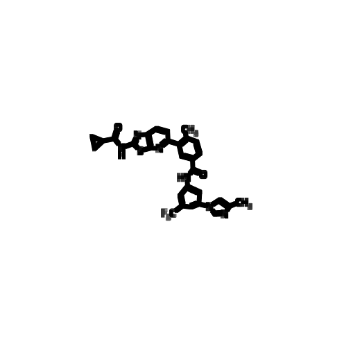 Cc1cn(-c2cc(NC(=O)c3ccc(C)c(-c4ccc5nc(NC(=O)C6CC6)sc5n4)c3)cc(C(F)(F)F)c2)cn1